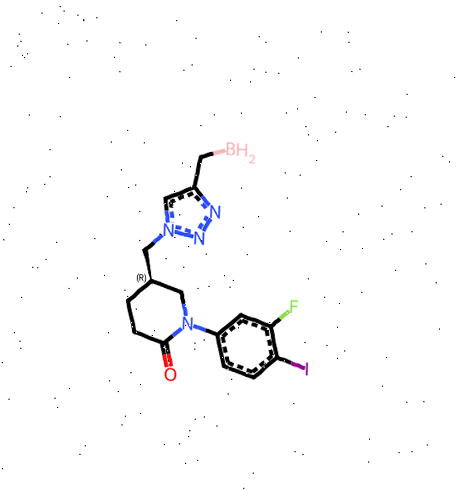 BCc1cn(C[C@@H]2CCC(=O)N(c3ccc(I)c(F)c3)C2)nn1